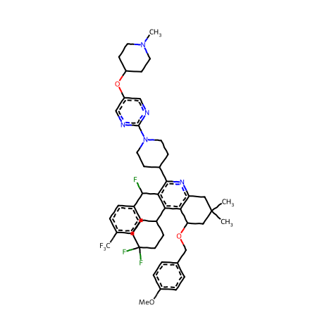 COc1ccc(COC2CC(C)(C)Cc3nc(C4CCN(c5ncc(OC6CCN(C)CC6)cn5)CC4)c(C(F)c4ccc(C(F)(F)F)cc4)c(C4CCC(F)(F)CC4)c32)cc1